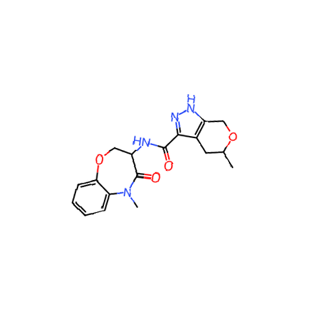 CC1Cc2c(C(=O)NC3COc4ccccc4N(C)C3=O)n[nH]c2CO1